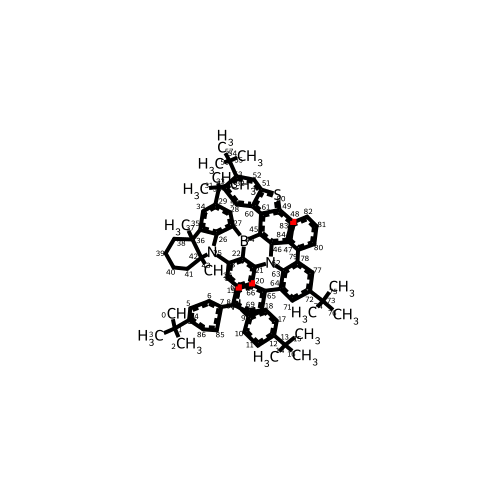 CC(C)(C)c1ccc(N(c2ccc(C(C)(C)C)cc2)c2cc3c4c(c2)N2c5c(cc(C(C)(C)C)cc5C5(C)CCCCC25C)B4c2c(ccc4sc5cc(C(C)(C)C)ccc5c24)N3c2c(-c3ccccc3)cc(C(C)(C)C)cc2-c2ccccc2)cc1